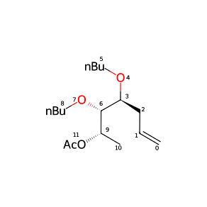 C=CC[C@H](OCCCC)[C@@H](OCCCC)[C@H](C)OC(C)=O